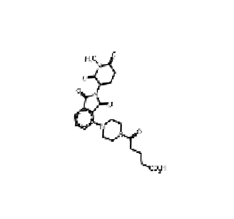 CN1C(=O)CCC(N2C(=O)c3cccc(N4CCN(C(=O)CCCC(=O)O)CC4)c3C2=O)C1=O